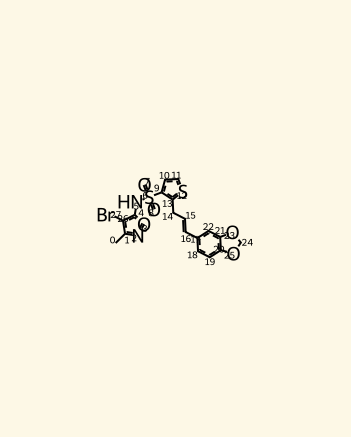 Cc1noc(NS(=O)(=O)c2ccsc2CC=Cc2ccc3c(c2)OCO3)c1Br